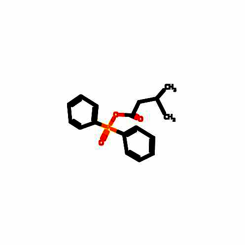 CC(C)CC(=O)OP(=O)(c1ccccc1)c1ccccc1